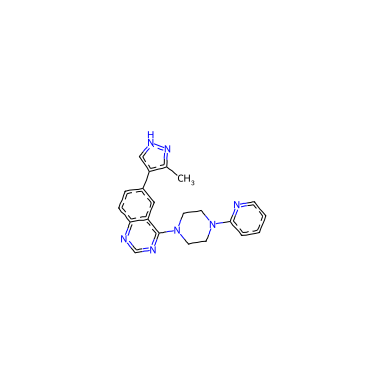 Cc1n[nH]cc1-c1ccc2ncnc(N3CCN(c4ccccn4)CC3)c2c1